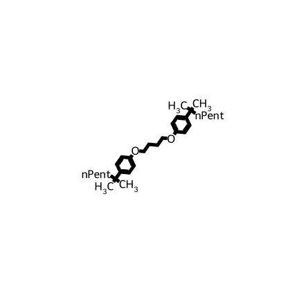 CCCCCC(C)(C)c1ccc(OCCCCOc2ccc(C(C)(C)CCCCC)cc2)cc1